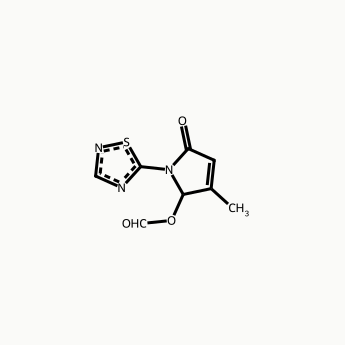 CC1=CC(=O)N(c2ncns2)C1OC=O